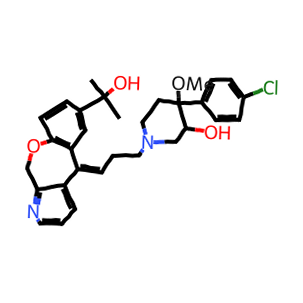 COC1(c2ccc(Cl)cc2)CCN(CC/C=C2\c3cc(C(C)(C)O)ccc3OCc3ncccc32)CC1O